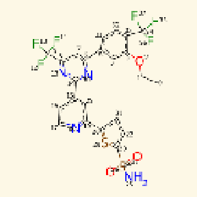 CCOc1cc(-c2cc(C(F)(F)F)nc(-c3ccnc(-c4ccc(S(N)(=O)=O)s4)c3)n2)ccc1C(F)(F)F